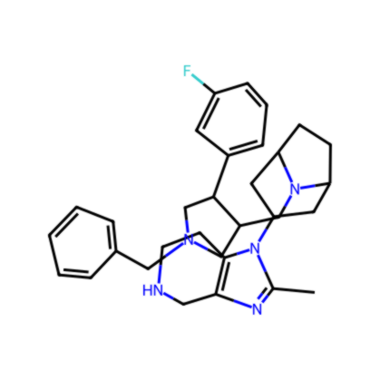 Cc1nc2c(n1C1CC3CCC(C1)N3CC1CN(Cc3ccccc3)CC1c1cccc(F)c1)CCNC2